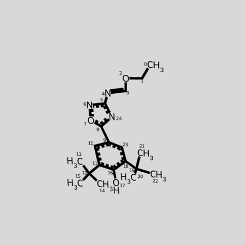 CCOC=Nc1noc(-c2cc(C(C)(C)C)c(O)c(C(C)(C)C)c2)n1